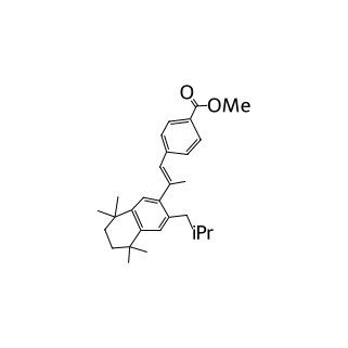 COC(=O)c1ccc(C=C(C)c2cc3c(cc2CC(C)C)C(C)(C)CCC3(C)C)cc1